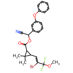 COC(F)(F)C(Br)=CC1C(C(=O)OC(C#N)c2cccc(Oc3ccccc3)c2)C1(C)C